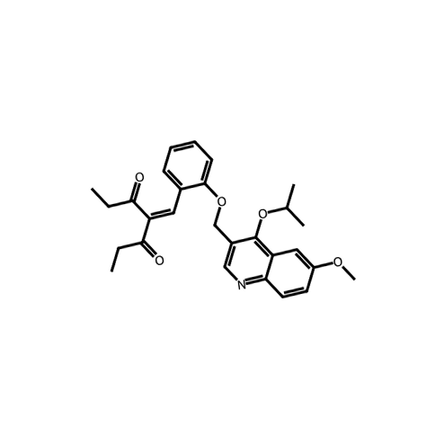 CCC(=O)C(=Cc1ccccc1OCc1cnc2ccc(OC)cc2c1OC(C)C)C(=O)CC